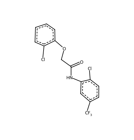 O=C(COc1ccccc1Cl)Nc1cc(C(F)(F)F)ccc1Cl